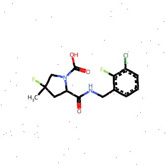 CC1(F)CC(C(=O)NCc2cccc(Cl)c2F)N(C(=O)O)C1